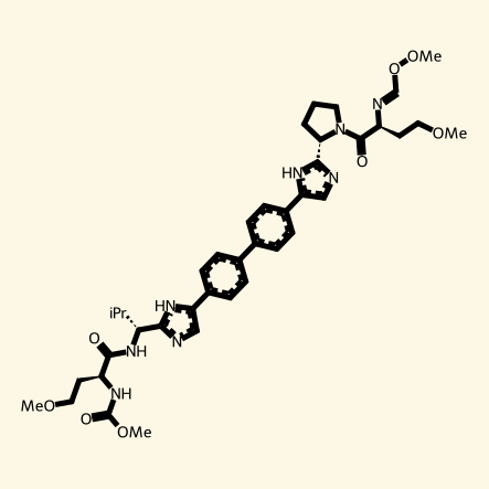 COCC[C@H](/N=C/OOC)C(=O)N1CCC[C@H]1c1ncc(-c2ccc(-c3ccc(-c4cnc([C@H](NC(=O)[C@H](CCOC)NC(=O)OC)C(C)C)[nH]4)cc3)cc2)[nH]1